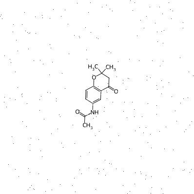 CC(=O)Nc1ccc2c(c1)C(=O)CC(C)(C)O2